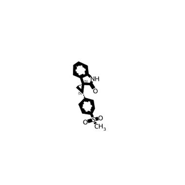 CS(=O)(=O)c1ccc([C@@H]2C[C@]23C(=O)Nc2ccccc23)cc1